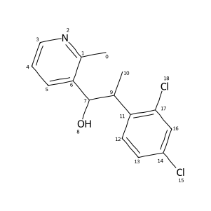 Cc1ncccc1C(O)C(C)c1ccc(Cl)cc1Cl